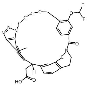 Cc1c2ccc3c1nnn3CCCCCc1ccc(cc1OC(F)F)C(=O)N1CCc3ccc(cc3C1)[C@@H]2CC(=O)O